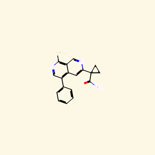 CNc1ncc(-c2ccccc2)c2cc(C3(C(N)=O)CC3)ncc12